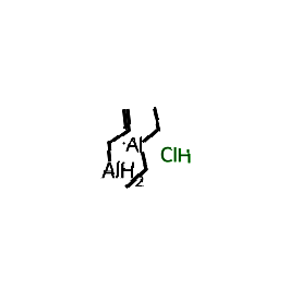 C=C[CH2][AlH2].C[CH2][Al][CH2]C.Cl